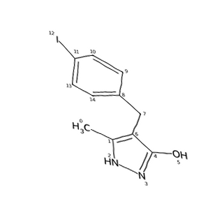 Cc1[nH]nc(O)c1Cc1ccc(I)cc1